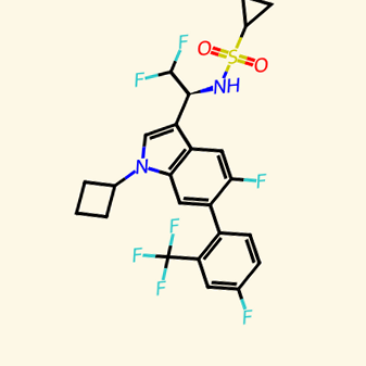 O=S(=O)(N[C@@H](c1cn(C2CCC2)c2cc(-c3ccc(F)cc3C(F)(F)F)c(F)cc12)C(F)F)C1CC1